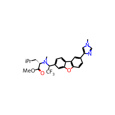 COC(=O)[C@H](CC(C)C)N(C)[C@@H](c1ccc2c(c1)oc1ccc(-c3cn(C)cn3)cc12)C(F)(F)F